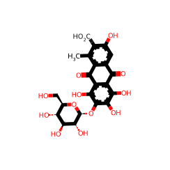 Cc1c(C(=O)O)c(O)cc2c1C(=O)c1c(O)c(O[C@H]3O[C@H](CO)[C@@H](O)[C@H](O)[C@H]3O)c(O)c(O)c1C2=O